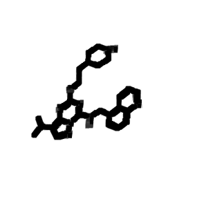 CC(C)c1cnn2c(NCc3cccc4ncccc34)nc(OCCC3CCNCC3)nc12